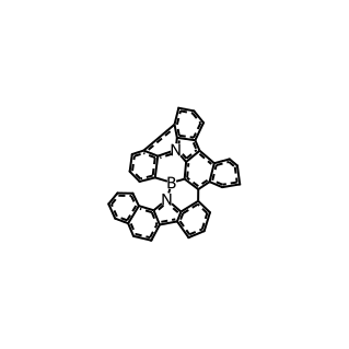 c1ccc2c(c1)ccc1c3cccc4c3n(c21)B1c2cccc3c5cccc6c7c8ccccc8c-4c1c7n(c23)c56